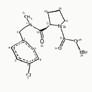 CN(Cc1ccc(Cl)cc1)C(=O)[C@H]1CCCN1C(=O)OC(C)(C)C